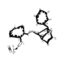 COc1ccccc1CNC1C2CCN(CC2)C1c1ccccc1